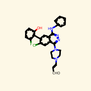 O=CC=CN1CCN(c2nnc(Nc3ccccc3)c3cc(-c4c(O)cccc4F)c(Cl)cc23)CC1